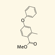 COC(=O)c1ccc(Oc2ccccc2)cc1C